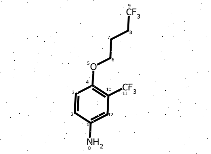 Nc1ccc(OCCCC(F)(F)F)c(C(F)(F)F)c1